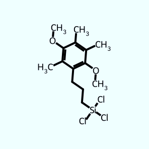 COc1c(C)c(C)c(OC)c(CCC[Si](Cl)(Cl)Cl)c1C